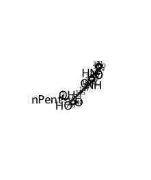 CCCCC[C@H](O)/C=C/[C@H]1[C@H](O)CC(=O)[C@@H]1CCCCCCC(=O)Nc1ccc(NC(=O)c2ccccc2)cc1